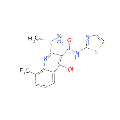 C[C@H](N)c1nc2c(C(F)(F)F)cccc2c(O)c1C(=O)Nc1nccs1